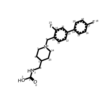 O=C(O)NCC1CCN(Cc2ccc(-c3ccc(F)cc3)cc2F)CC1